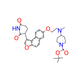 CN(CCOc1ccc2c(ccc3occ(C4CCC(=O)NC4=O)c32)c1)C1CCN(C(=O)OC(C)(C)C)CC1